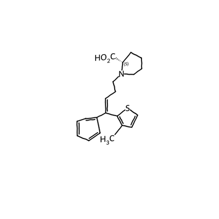 Cc1ccsc1C(=CCCN1CCCC[C@H]1C(=O)O)c1ccccc1